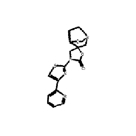 O=C1OC2(CN3CCC2CC3)CN1c1nc(-c2ccccn2)cs1